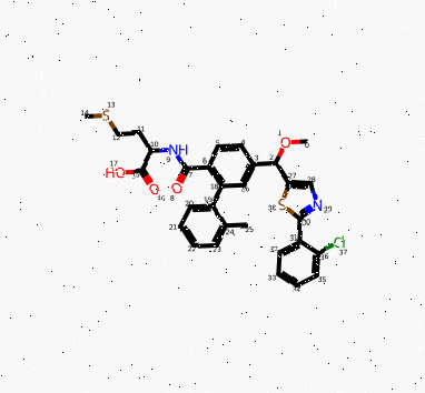 COC(c1ccc(C(=O)NC(CCSC)C(=O)O)c(-c2ccccc2C)c1)c1cnc(-c2ccccc2Cl)s1